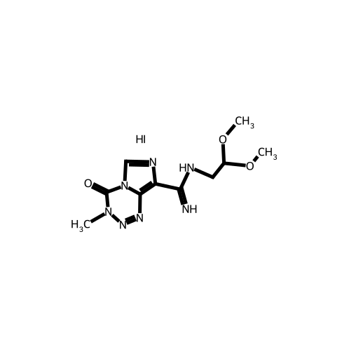 COC(CNC(=N)c1ncn2c(=O)n(C)nnc12)OC.I